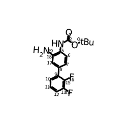 CC(C)(C)OC(=O)Nc1ccc(-c2cccc(F)c2F)cc1N